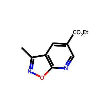 CCOC(=O)c1cnc2onc(C)c2c1